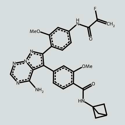 C=C(F)C(=O)Nc1ccc(-c2nn3ncnc(N)c3c2-c2ccc(C(=O)NC34CC(C3)C4)c(OC)c2)c(OC)c1